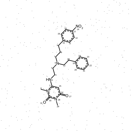 Cn1c(NCCN(CCCc2ccc([N+](=O)[O-])cc2)CCc2ccccc2)cc(=O)n(C)c1=O